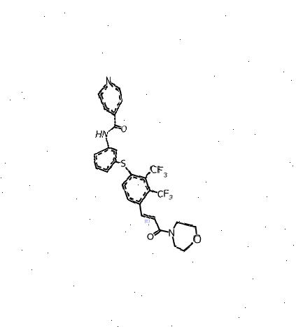 O=C(Nc1cccc(Sc2ccc(/C=C/C(=O)N3CCOCC3)c(C(F)(F)F)c2C(F)(F)F)c1)c1ccncc1